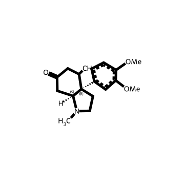 COc1ccc([C@]23CCN(C)[C@H]2CC(=O)CC3C)cc1OC